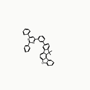 CC1(C)c2ccc(-c3cccc(-c4cc(-c5ccccc5)nc(-c5ccccc5)n4)c3)cc2-c2ccc3oc4ccccc4c3c21